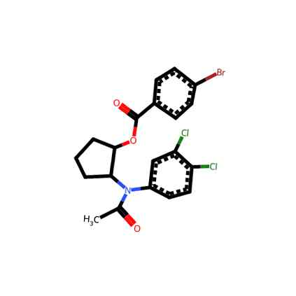 CC(=O)N(c1ccc(Cl)c(Cl)c1)C1CCCC1OC(=O)c1ccc(Br)cc1